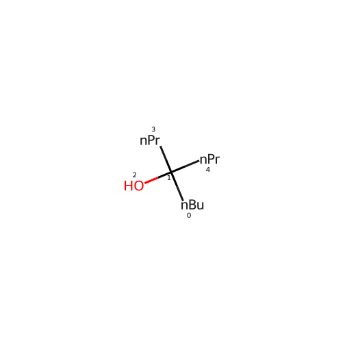 CCCCC(O)(CCC)CCC